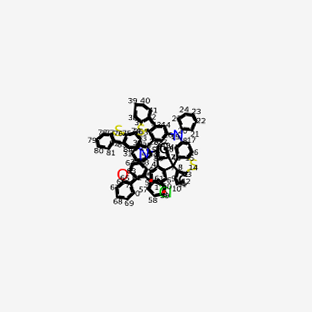 Clc1ccc2c(c1)C1(c3ccccc3Sc3ccc(N(c4ccccc4)c4cc(-c5ccccc5)c5sc6ccccc6c5c4)cc31)c1cccc(N(c3cc(-c4ccccc4)c4c(c3)oc3ccccc34)c3ccc4sc5ccccc5c4c3)c1-2